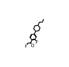 CCCC1CCC(c2ccc(C(=O)CF)c(F)c2)CC1